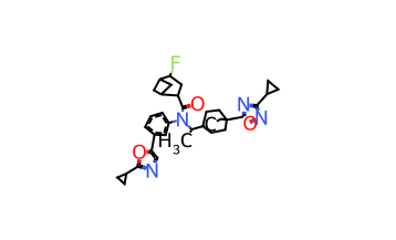 CC(N(C(=O)C1CC(F)C2CC1C2)c1cccc(-c2cnc(C3CC3)o2)c1)C12CCC(c3nc(C4CC4)no3)(CC1)CC2